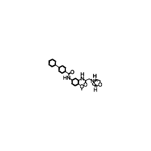 COc1ccc(NC(=O)c2ccc(-c3ccccc3)cc2)cc1NC(=O)CN1C[C@H]2C[C@@H]1CO2